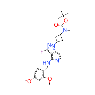 COc1ccc(CNc2nccc3c2c(I)nn3C2CC(N(C)C(=O)OC(C)(C)C)C2)c(OC)c1